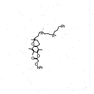 CCCOCC(=O)Oc1c(C)c(C)c2c(c1C)CC[C@@](C)(CCC[C@H](C)CCC[C@H](C)CCCC(C)C)O2